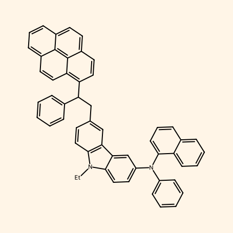 CCn1c2ccc(CC(c3ccccc3)c3ccc4ccc5cccc6ccc3c4c56)cc2c2cc(N(c3ccccc3)c3cccc4ccccc34)ccc21